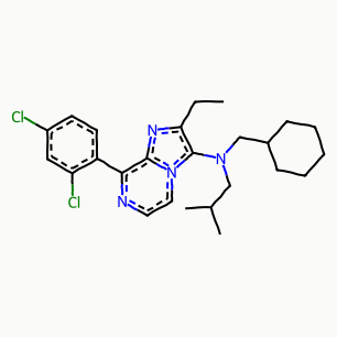 CCc1nc2c(-c3ccc(Cl)cc3Cl)nccn2c1N(CC(C)C)CC1CCCCC1